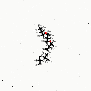 O=C(OC(F)(F)C1(C(F)(F)F)OCC(F)(CF)O1)C(F)(OC(F)(F)C(F)(OC(F)(F)C(F)(F)C(F)(F)F)C(F)(F)F)C(F)(F)F